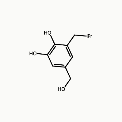 CC(C)Cc1cc(CO)cc(O)c1O